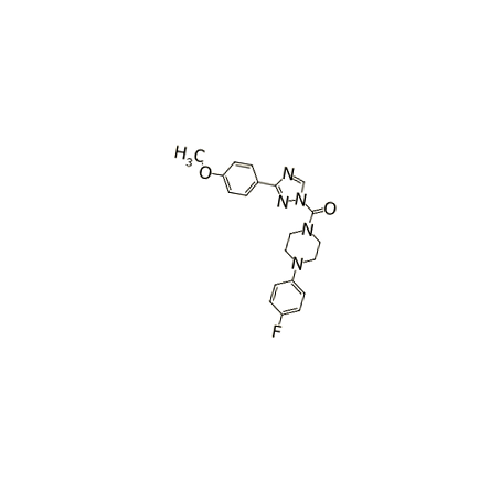 COc1ccc(-c2ncn(C(=O)N3CCN(c4ccc(F)cc4)CC3)n2)cc1